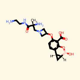 C[C@@](N)(CN1CC(Oc2ccc3c(c2C(=O)O)OB(O)[C@H]2C[C@@H]32)C1)C(=O)NCCN